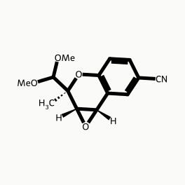 COC(OC)[C@@]1(C)Oc2ccc(C#N)cc2[C@@H]2O[C@@H]21